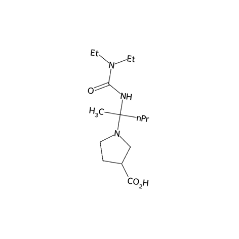 CCCC(C)(NC(=O)N(CC)CC)N1CCC(C(=O)O)C1